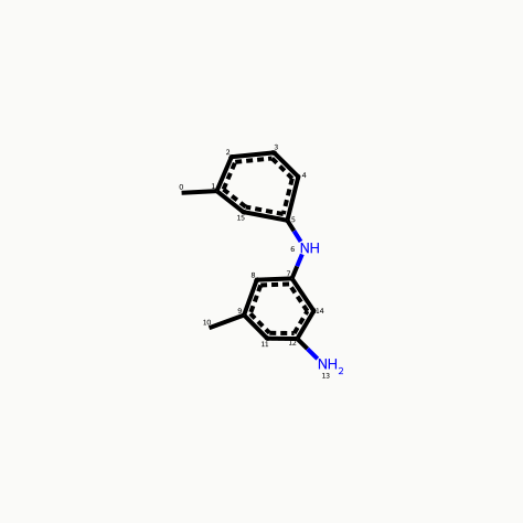 Cc1cccc(Nc2cc(C)cc(N)c2)c1